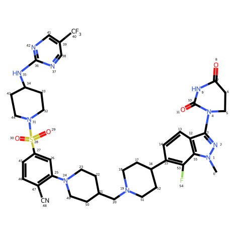 Cn1nc(N2CCC(=O)NC2=O)c2ccc(C3CCN(CC4CCN(c5cc(S(=O)(=O)N6CCC(Nc7ncc(C(F)(F)F)cn7)CC6)ccc5C#N)CC4)CC3)c(F)c21